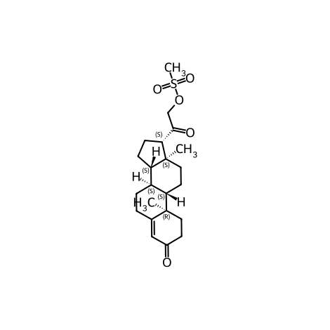 C[C@]12CC[C@H]3[C@@H](CCC4=CC(=O)CC[C@@]43C)[C@@H]1CC[C@@H]2C(=O)COS(C)(=O)=O